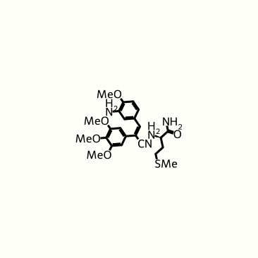 COc1ccc(/C=C(/C#N)c2cc(OC)c(OC)c(OC)c2)cc1N.CSCC[C@@H](N)C(N)=O